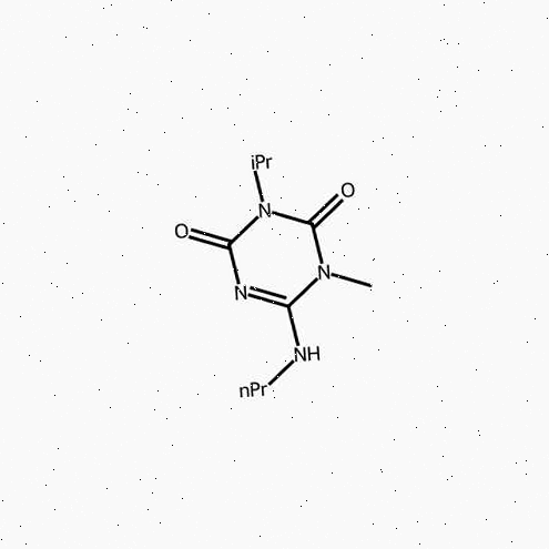 CCCNc1nc(=O)n(C(C)C)c(=O)n1C